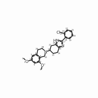 COc1cc2c(c(OC)c1)CN(C1CCc3nc(-c4ccccc4Cl)[nH]c3C1)CC2